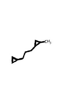 CC1CC1CC[CH]C1CC1